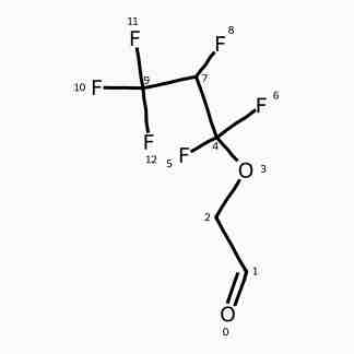 O=CCOC(F)(F)C(F)C(F)(F)F